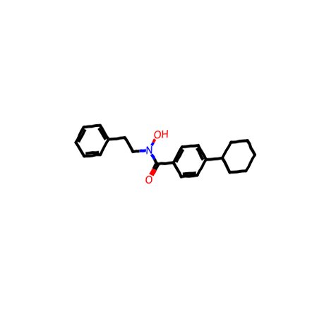 O=C(c1ccc(C2CCCCC2)cc1)N(O)CCc1ccccc1